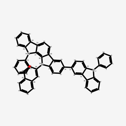 c1ccc(-n2c3ccccc3c3cc(-c4ccc5c(c4)c4ccc6c7ccccc7n(-c7ccccc7)c6c4n5-c4ccc5ccccc5c4)ccc32)cc1